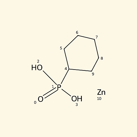 O=P(O)(O)C1CCCCC1.[Zn]